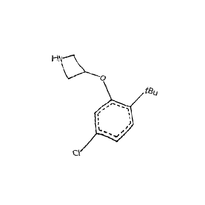 CC(C)(C)c1ccc(Cl)cc1OC1CNC1